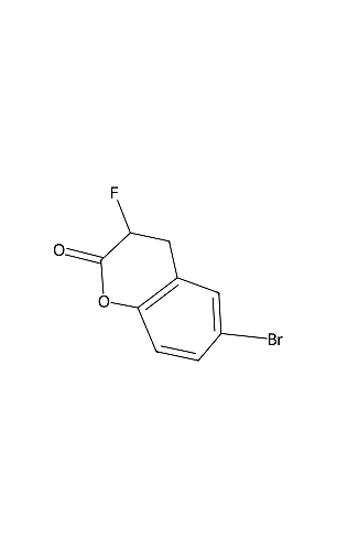 O=C1Oc2ccc(Br)cc2CC1F